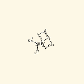 Cl[SiH2]Cl.c1cc2ccc1-2